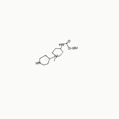 CC(C)(C)OC(=O)NC1CC[N+](C)(C2CCNCC2)CC1